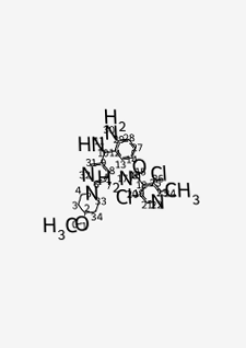 COC1CCN(c2ccc(C(=N)c3cc(O[C@H](N)c4c(Cl)cnc(C)c4Cl)ccc3N)cn2)CC1